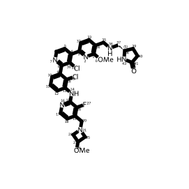 COc1nc(-c2ccnc(-c3cccc(Nc4nccc(CN5CC(OC)C5)c4F)c3Cl)c2Cl)ccc1CNC[C@@H]1CCC(=O)N1